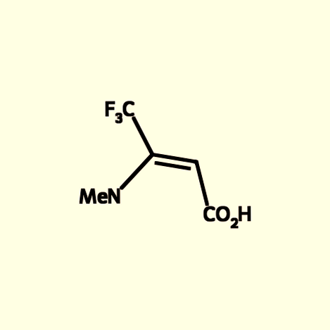 CN/C(=C\C(=O)O)C(F)(F)F